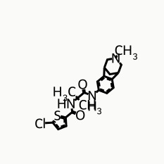 CN1CC2CC(C1)c1cc(NC(=O)C(C)(C)NC(=O)c3ccc(Cl)s3)ccc12